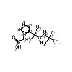 CC(C)(C)[SiH2]OC(C)(C)c1cnnn1CC(=O)O